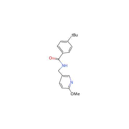 COc1ccc(CNC(=O)c2ccc(C(C)(C)C)cc2)cn1